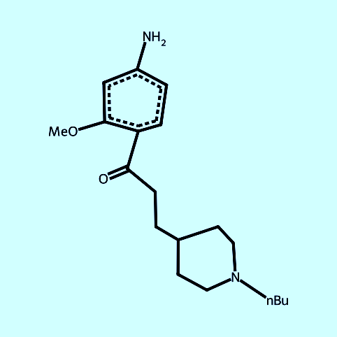 CCCCN1CCC(CCC(=O)c2ccc(N)cc2OC)CC1